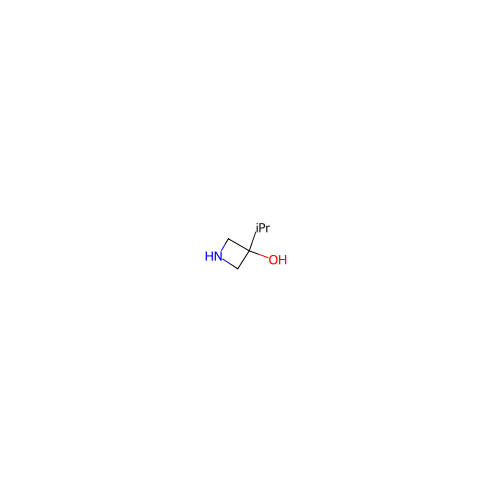 CC(C)C1(O)CNC1